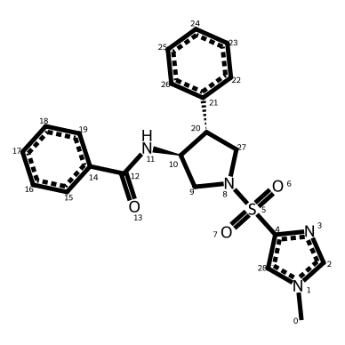 Cn1cnc(S(=O)(=O)N2C[C@@H](NC(=O)c3ccccc3)[C@H](c3ccccc3)C2)c1